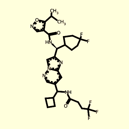 CC(C)c1oncc1C(=O)N[C@H](c1cn2ncc(C(NC(=O)CCC(F)(F)F)C3CCC3)cc2n1)C1CCC(F)(F)CC1